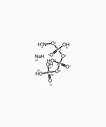 NOP(=O)(O)OP(=O)(O)OP(=O)(O)O.[NaH]